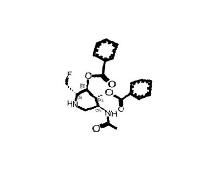 CC(=O)N[C@H]1CN[C@H](CF)[C@@H](OC(=O)c2ccccc2)[C@@H]1OC(=O)c1ccccc1